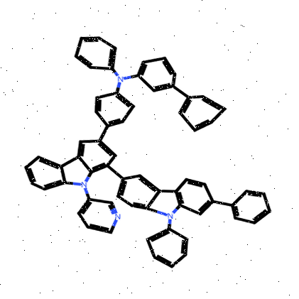 c1ccc(-c2cccc(N(c3ccccc3)c3ccc(-c4cc(-c5ccc6c(c5)c5ccc(-c7ccccc7)cc5n6-c5ccccc5)c5c(c4)c4ccccc4n5-c4cccnc4)cc3)c2)cc1